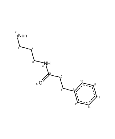 CCCCCCCCCCCCNC(=O)[CH]Cc1ccccc1